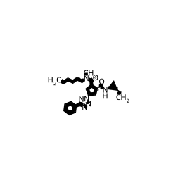 C=CCCCCN(C)C(=O)C1C[C@H](n2nnc(-c3ccccc3)n2)C[C@H]1C(=O)N[C@@H]1C[C@H]1C=C